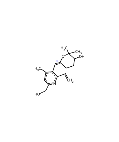 C=Cc1nc(CO)cc(C)c1/C=C1\CCC(O)C(C)(C)O1